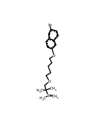 C[SiH](C)C(C)(C)COCCCCCOc1ccc2cc(Br)ccc2c1